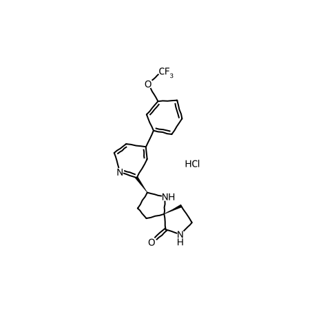 Cl.O=C1NCC[C@]12CC[C@@H](c1cc(-c3cccc(OC(F)(F)F)c3)ccn1)N2